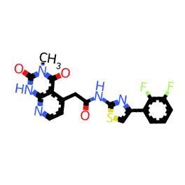 Cn1c(=O)[nH]c2nccc(CC(=O)Nc3nc(-c4cccc(F)c4F)cs3)c2c1=O